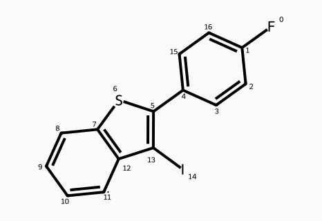 Fc1ccc(-c2sc3ccc[c]c3c2I)cc1